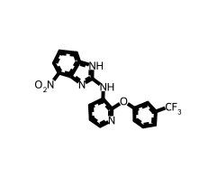 O=[N+]([O-])c1cccc2[nH]c(Nc3cccnc3Oc3cccc(C(F)(F)F)c3)nc12